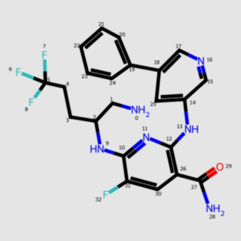 NCC(CCC(F)(F)F)Nc1nc(Nc2cncc(-c3ccccc3)c2)c(C(N)=O)cc1F